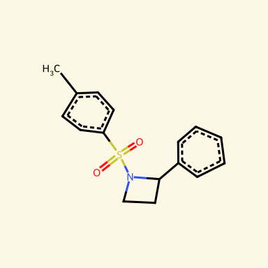 Cc1ccc(S(=O)(=O)N2CCC2c2ccccc2)cc1